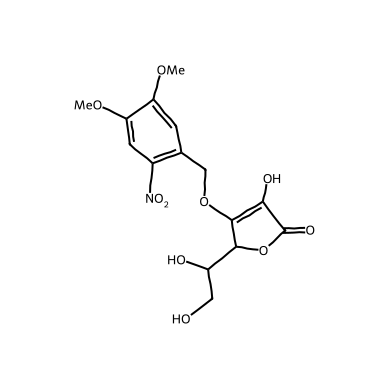 COc1cc(COC2=C(O)C(=O)OC2C(O)CO)c([N+](=O)[O-])cc1OC